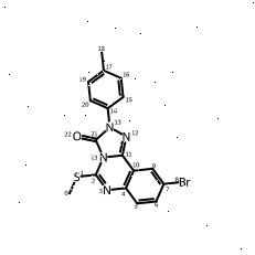 CSc1nc2ccc(Br)cc2c2nn(-c3ccc(C)cc3)c(=O)n12